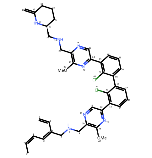 C=C/C(=C\C=C/C)CNCc1ncc(-c2cccc(-c3cccc(-c4cnc(CNC[C@@H]5CCCC(=C)N5)c(OC)n4)c3Cl)c2Cl)nc1OC